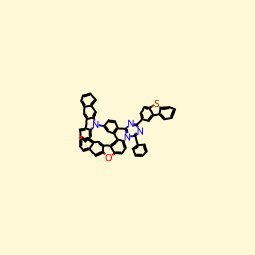 c1ccc(-c2nc(-c3ccc4sc5ccccc5c4c3)nc(-c3ccc(-n4c5ccccc5c5cc6ccccc6cc54)cc3-c3cccc4oc5cc6ccccc6cc5c34)n2)cc1